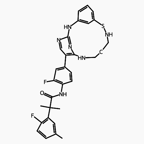 Cc1ccc(F)c(C(C)(C)C(=O)Nc2ccc(-c3cnc4nc3NCCCNSc3cccc(c3)N4)cc2F)c1